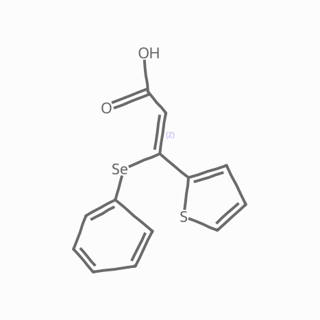 O=C(O)/C=C(\[Se]c1ccccc1)c1cccs1